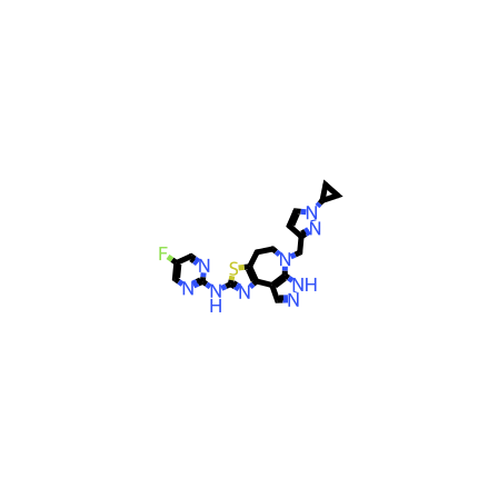 Fc1cnc(Nc2nc3c(s2)CCN(Cc2ccn(C4CC4)n2)c2[nH]ncc2-3)nc1